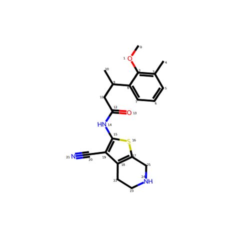 COc1c(C)cccc1C(C)CC(=O)Nc1sc2c(c1C#N)CCNC2